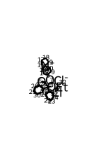 CCC(Cl)OC(C(=O)OC1CC2CCC(C1)[N+]21CCCC1)(c1ccccc1)c1ccccc1.[Cl-]